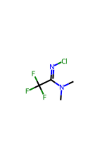 CN(C)/C(=N\Cl)C(F)(F)F